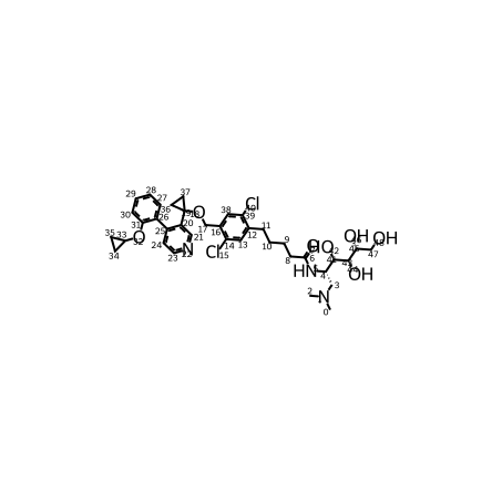 CN(C)C[C@H](NC(=O)CCCCc1cc(Cl)c(COC2(c3cnccc3-c3ccccc3OC3CC3)CC2)cc1Cl)[C@@H](O)[C@H](O)[C@H](O)CO